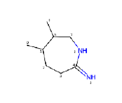 CC1CCC(=N)NCC1C